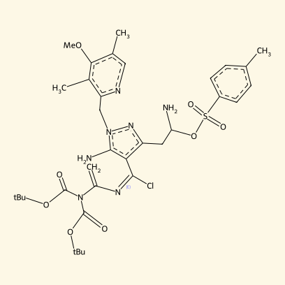 C=C(/N=C(/Cl)c1c(CC(N)OS(=O)(=O)c2ccc(C)cc2)nn(Cc2ncc(C)c(OC)c2C)c1N)N(C(=O)OC(C)(C)C)C(=O)OC(C)(C)C